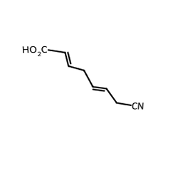 N#CCC=CCC=CC(=O)O